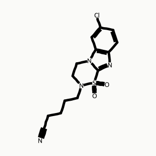 N#CCCCCN1CCn2c(nc3ccc(Cl)cc32)S1(=O)=O